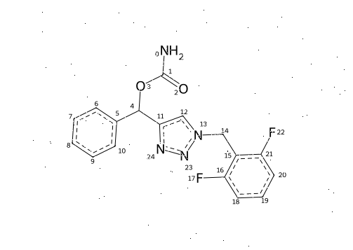 NC(=O)OC(c1ccccc1)c1cn(Cc2c(F)cccc2F)nn1